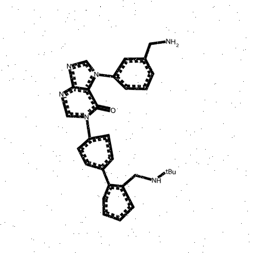 CC(C)(C)NCc1ccccc1-c1ccc(-n2cnc3ncn(-c4cccc(CN)c4)c3c2=O)cc1